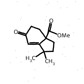 COC(=O)C12CCC(=O)C=C1C(C)(C)CC2